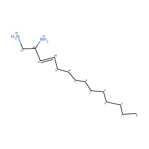 CCCCCCCCCCC=CC(N)CN